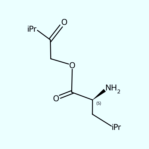 CC(C)C[C@H](N)C(=O)OCC(=O)C(C)C